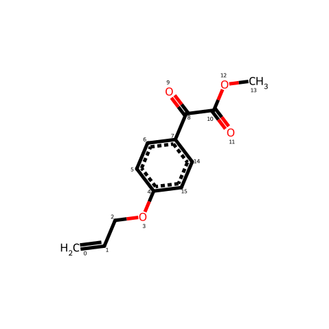 C=CCOc1ccc(C(=O)C(=O)OC)cc1